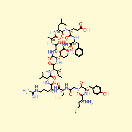 CC[C@H](C)[C@H](NC(=O)[C@@H](NC(=O)[C@H](CCCNC(=N)N)NC(=O)[C@H](CS)NC(=O)CNC(=O)[C@H](Cc1ccc(O)cc1)NC(=O)[C@@H](N)CCSC)C(C)C)C(=O)N[C@@H](CCC(N)=O)C(=O)N[C@@H](CCCCN)C(=O)N[C@@H](C)C(=O)N[C@@H](CC(C)C)C(=O)N[C@@H](CCC(=O)O)C(=O)N[C@@H](Cc1ccccc1)C(=O)O